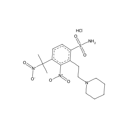 CC(C)(c1ccc(S(N)(=O)=O)c(CCN2CCCCC2)c1[N+](=O)[O-])[N+](=O)[O-].Cl